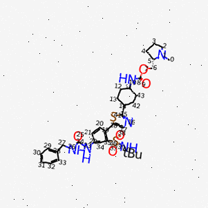 CN1CCC[C@H]1COC(=O)NC1CCC(c2ncc(-c3ccc(NC(=O)NCc4ccccc4)cc3S(=O)(=O)NC(C)(C)C)s2)CC1